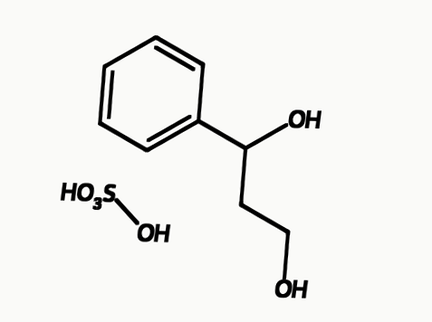 O=S(=O)(O)O.OCCC(O)c1ccccc1